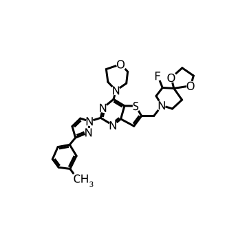 Cc1cccc(-c2ccn(-c3nc(N4CCOCC4)c4sc(CN5CCC6(OCCO6)C(F)C5)cc4n3)n2)c1